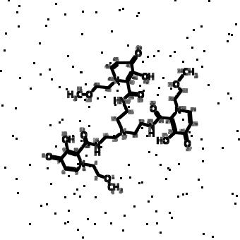 COCCn1ccc(=O)c(O)c1C(=O)NCCN(CCNC(=O)c1c(O)c(=O)ccn1CCOC)CCNC(=O)c1c(O)c(=O)ccn1CCOC